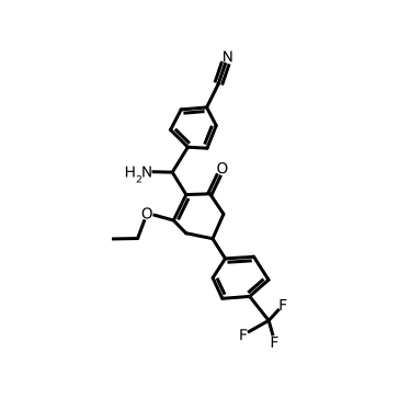 CCOC1=C(C(N)c2ccc(C#N)cc2)C(=O)CC(c2ccc(C(F)(F)F)cc2)C1